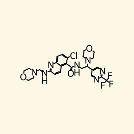 O=C(NCC(c1cnc(C(F)(F)F)nc1)N1CCOCC1)c1c(Cl)ccc2nc(NCN3CCOCC3)ccc12